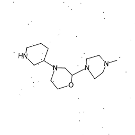 CN1CCN(C2CN(C3CCCNC3)CCO2)CC1